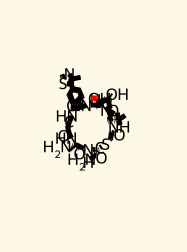 Cc1ncsc1-c1ccc(C2NC(O)[C@@H]3C[C@@H](O)CN3C(=O)[C@H](C(C)(C)C)NC(=O)CSC[C@H](C(N)=O)NC(=O)[C@@H](CN)NC(=O)CCNC2=O)cc1